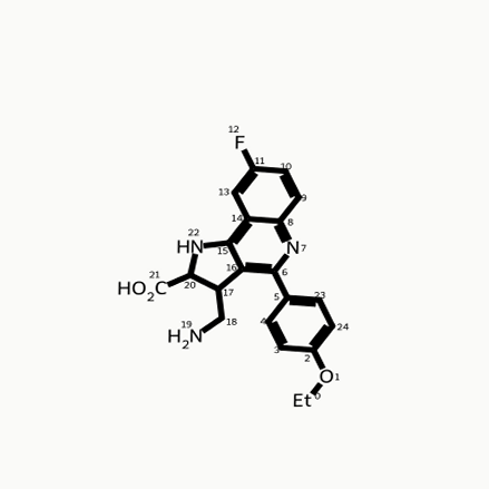 CCOc1ccc(-c2nc3ccc(F)cc3c3c2C(CN)C(C(=O)O)N3)cc1